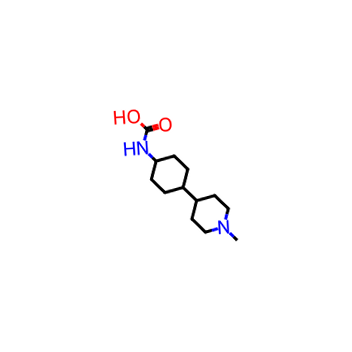 CN1CCC(C2CCC(NC(=O)O)CC2)CC1